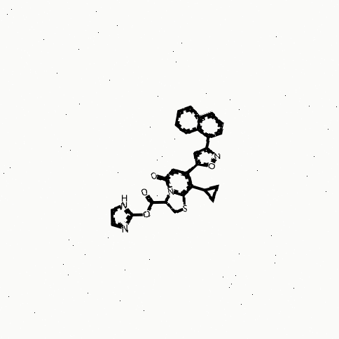 O=C(Oc1ncc[nH]1)C1CSc2c(C3CC3)c(-c3cc(-c4cccc5ccccc45)no3)cc(=O)n21